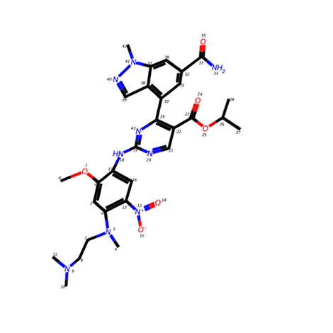 COc1cc(N(C)CCN(C)C)c([N+](=O)[O-])cc1Nc1ncc(C(=O)OC(C)C)c(-c2cc(C(N)=O)cc3c2cnn3C)n1